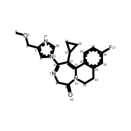 COCc1cn(C2=NCC(=O)N3CCc4cc(F)ccc4C3=C2C2CC2)cn1